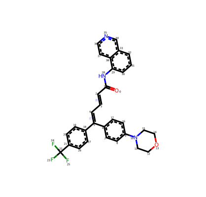 O=C(/C=C/C=C(\c1ccc(N2CCOCC2)cc1)c1ccc(C(F)(F)F)cc1)Nc1cccc2cnccc12